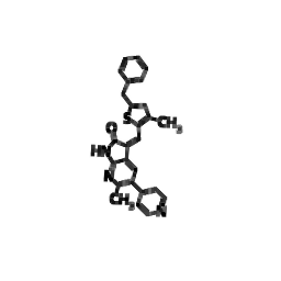 Cc1cc(Cc2ccccc2)sc1C=C1C(=O)Nc2nc(C)c(-c3ccncc3)cc21